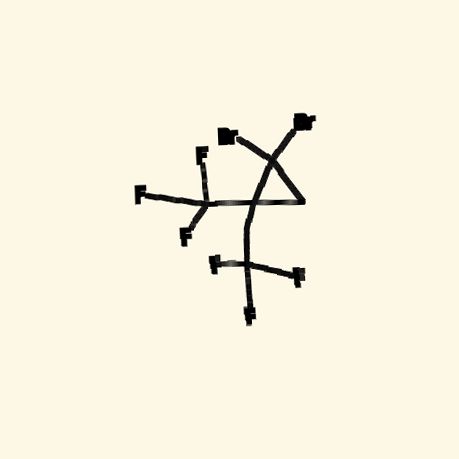 FC(F)(F)C1(C(F)(F)F)CC1(Br)Br